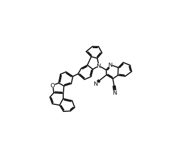 N#Cc1c(-n2c3ccccc3c3cc(-c4ccc5oc6ccc7ccccc7c6c5c4)ccc32)nc2ccccc2c1C#N